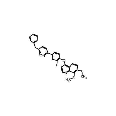 COc1ccc2c(Oc3ccc(-c4ccc(Cc5ccccc5)nn4)cc3F)ccnc2c1OC